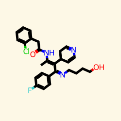 C/C(NC(=O)Cc1ccccc1Cl)=C(\C(=N/CCCCO)c1ccc(F)cc1)C1C=CN=CC1